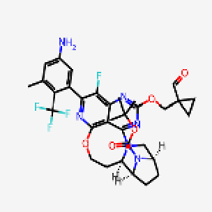 Cc1cc(N)cc(-c2nc3c4c(nc(OCC5(C=O)CC5)nc4c2F)N2C[C@H]4CC[C@@H]([C@H]2CCO3)N4C(=O)OC(C)(C)C)c1C(F)(F)F